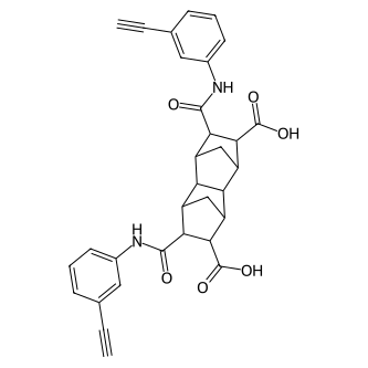 C#Cc1cccc(NC(=O)C2C3CC(C2C(=O)O)C2C4CC(C(C(=O)Nc5cccc(C#C)c5)C4C(=O)O)C32)c1